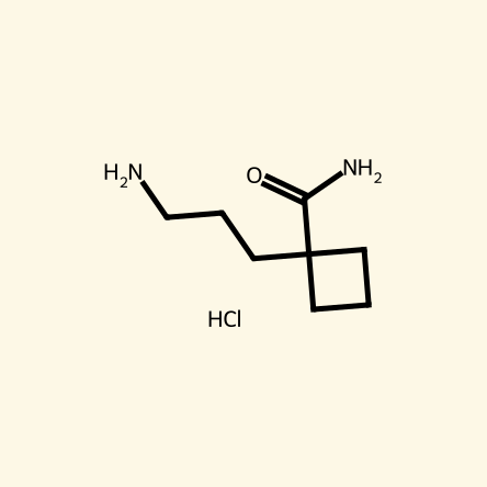 Cl.NCCCC1(C(N)=O)CCC1